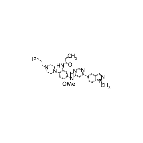 C=CC(=O)Nc1cc(Nc2cc(-c3ccc4c(cnn4C)c3)ncn2)c(OC)cc1N1CCN(CCC(C)C)CC1